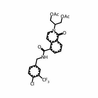 CC(=O)OCC(COC(C)=O)n1ccc2c(C(=O)NCc3ccc(Cl)c(C(F)(F)F)c3)cccc2c1=O